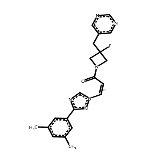 Cc1cc(-c2ncn(/C=C\C(=O)N3CC(F)(Cc4cncnc4)C3)n2)cc(C(F)(F)F)c1